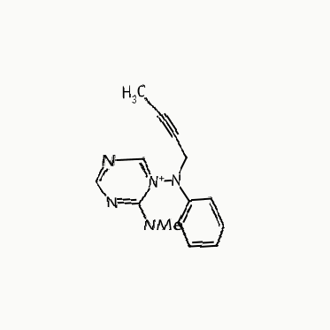 CC#CCN(c1ccccc1)[n+]1cncnc1NC